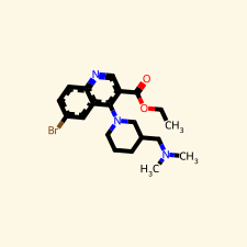 CCOC(=O)c1cnc2ccc(Br)cc2c1N1CCCC(CN(C)C)C1